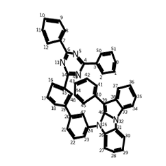 c1ccc(-c2nc(-c3ccccc3)nc(-c3cccc(-c4cccc(-n5c6ccccc6n6c7ccccc7c(-c7ccccc7)c56)c4)c3)n2)cc1